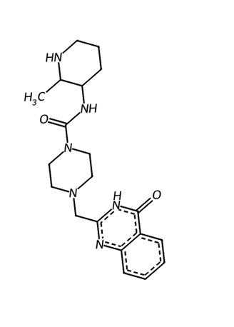 CC1NCCCC1NC(=O)N1CCN(Cc2nc3ccccc3c(=O)[nH]2)CC1